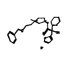 C[N+]1(CCOCc2ccccc2)CC[C@@H](OC(=O)C(O)(c2ccco2)C2CCCCC2)C1.[Br-]